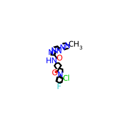 CN1CCN(c2ccn3ncc(C(=O)N[C@H]4CC[C@@]5(CCN(c6ccc(F)cc6Cl)C5=O)CC4)c3n2)CC1